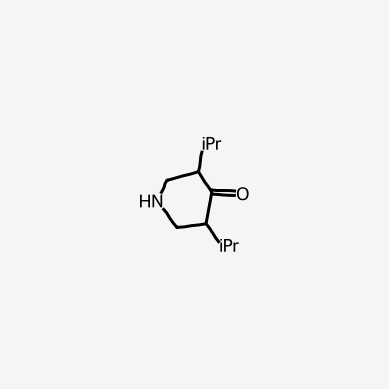 CC(C)C1CNCC(C(C)C)C1=O